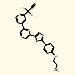 CC(C)(C#N)c1cc(-c2cncc(-c3nnc(-c4ccc(NCCN)cc4)o3)n2)ccn1